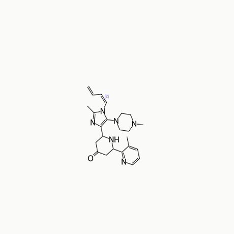 C=C/C=C\n1c(C)nc(C2CC(=O)CC(c3ncccc3C)N2)c1N1CCN(C)CC1